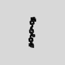 O=C(Cc1ccc(-n2cncn2)cc1)N1CCN(CCc2ccc3nonc3c2)CC1